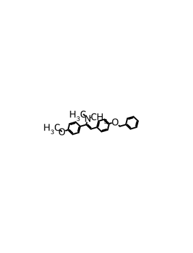 COc1ccc(C(=Cc2ccc(OCc3ccccc3)cc2)N(C)C)cc1